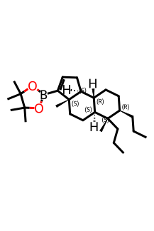 CCC[C@@H]1CC[C@@H]2[C@H](CC[C@]3(C)C(B4OC(C)(C)C(C)(C)O4)=CC[C@@H]23)[C@@]1(C)CCC